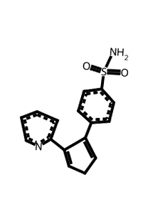 NS(=O)(=O)c1ccc(C2=CCC=C2c2ccccn2)cc1